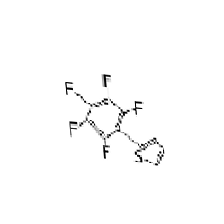 Fc1c(F)c(F)c(-c2cccs2)c(F)c1F